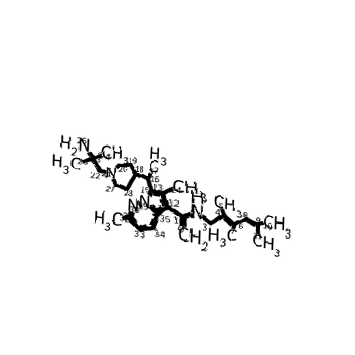 C=C(NC/C(C)=C(\C)C=C(C)C)c1c(C)c(C(C)C2CCN(CC(C)(C)N)CC2)n2nc(C)ccc12